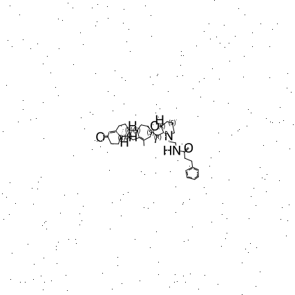 CC1=C2C[C@H]3[C@@H](CCC4=CC(=O)CC[C@@]43C)[C@@H]2CC[C@@]2(C1)O[C@@H]1C[C@H](C)CN(CCNC(=O)CCc3ccccc3)C1[C@H]2C